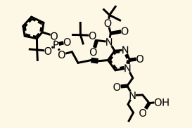 CCCN(CC(=O)O)C(=O)Cn1cc(C#CCCOP2(=O)Oc3ccccc3C(C)(C)O2)c(N(C(=O)OC(C)(C)C)C(=O)OC(C)(C)C)nc1=O